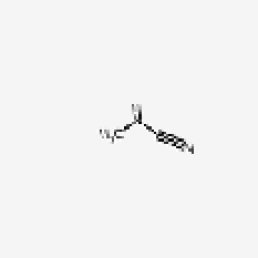 CNC#N